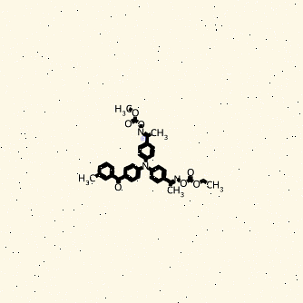 CCOC(=O)ON=C(C)c1ccc(N(c2ccc(C(=O)c3cccc(C)c3)cc2)c2ccc(/C(C)=N/OC(=O)OC)cc2)cc1